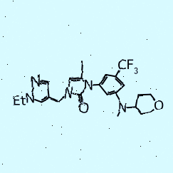 CCn1cc(Cn2cc(C)n(-c3cc(N(C)C4CCOCC4)cc(C(F)(F)F)c3)c2=O)cn1